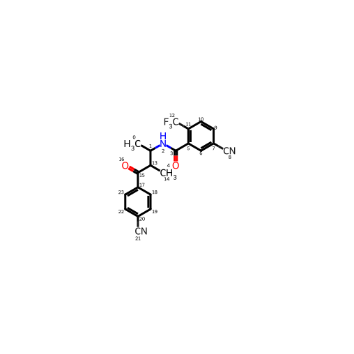 CC(NC(=O)c1cc(C#N)ccc1C(F)(F)F)C(C)C(=O)c1ccc(C#N)cc1